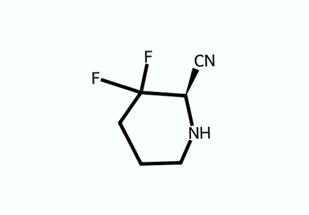 N#C[C@H]1NCCCC1(F)F